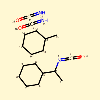 CC(N=C=O)C1CCCCC1.CC1CCCCC1.N=C=O.N=C=O